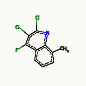 Cc1cccc2c(F)c(Cl)c(Cl)nc12